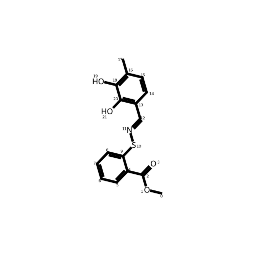 COC(=O)c1ccccc1S/N=C/c1ccc(C)c(O)c1O